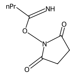 CCCC(=N)ON1C(=O)CCC1=O